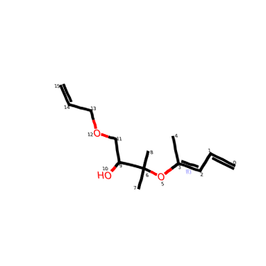 C=C/C=C(\C)OC(C)(C)C(O)COCC=C